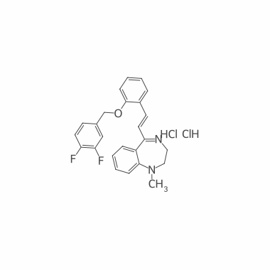 CN1CCN=C(C=Cc2ccccc2OCc2ccc(F)c(F)c2)c2ccccc21.Cl.Cl